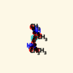 COc1ccc(Nc2cccc(Oc3ccc(C(c4ccc(Oc5cccc(Nc6ccc(OC)cc6)c5Nc5ccc(OC)cc5)cc4)(C(F)(F)F)C(F)(F)F)cc3)c2Nc2ccc(OC)cc2)cc1